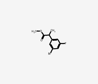 COC(=O)C(C)c1cc(F)cc(Br)c1